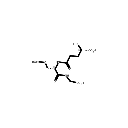 CCCCCCCCOC[C@H](NC(=O)CC[C@H](N)C(=O)O)C(=O)NCC(=O)O